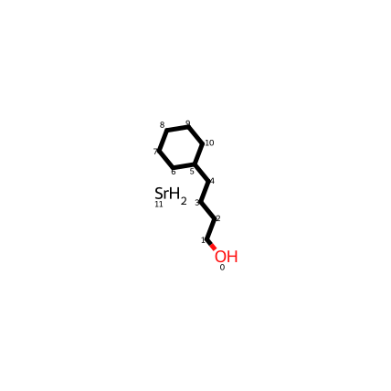 OCCCCC1CCCCC1.[SrH2]